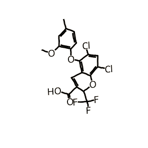 COc1cc(C)ccc1Oc1c(Cl)cc(Cl)c2c1C=C(C(=O)O)C(C(F)(F)F)O2